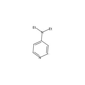 CCN(CC)c1c[c]ncc1